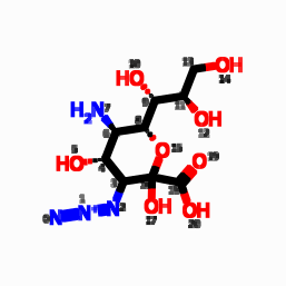 [N-]=[N+]=NC1[C@H](O)[C@@H](N)[C@H]([C@H](O)[C@H](O)CO)OC1(O)C(=O)O